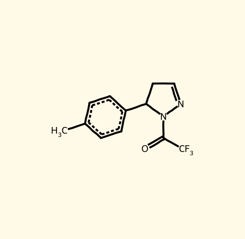 Cc1ccc(C2CC=NN2C(=O)C(F)(F)F)cc1